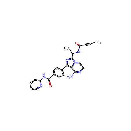 CC#CC(=O)NC(C)c1nc(-c2ccc(C(=O)Nc3ccccn3)cc2)c2c(N)nccn12